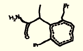 CC(C)c1cccc(C(C)C)c1C(C)C(N)=O